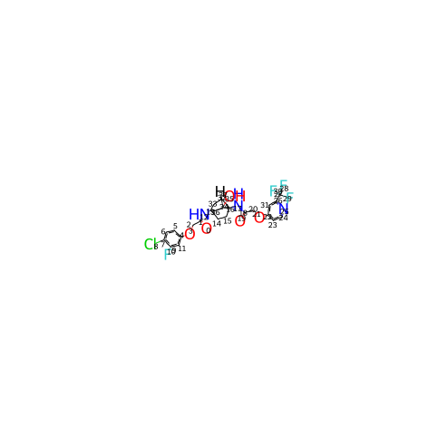 O=C(COc1ccc(Cl)c(F)c1)NC12CCC(NC(=O)COc3ccnc(C(F)(F)F)c3)(CC1)[C@@H](O)C2